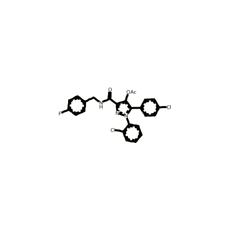 CC(=O)Oc1c(C(=O)NCc2ccc(F)cc2)nn(-c2ccccc2Cl)c1-c1ccc(Cl)cc1